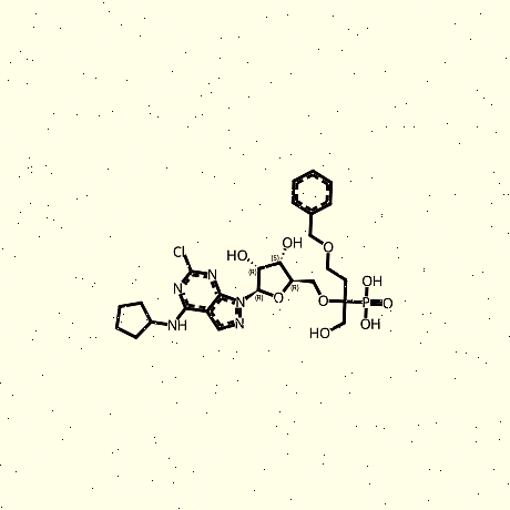 O=P(O)(O)C(CO)(CCOCc1ccccc1)OC[C@H]1O[C@@H](n2ncc3c(NC4CCCC4)nc(Cl)nc32)[C@H](O)[C@@H]1O